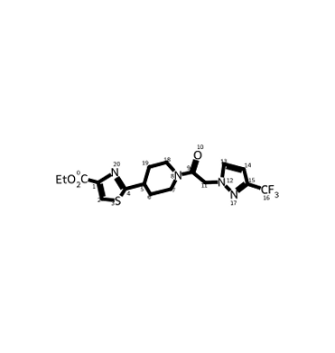 CCOC(=O)c1csc(C2CCN(C(=O)Cn3ccc(C(F)(F)F)n3)CC2)n1